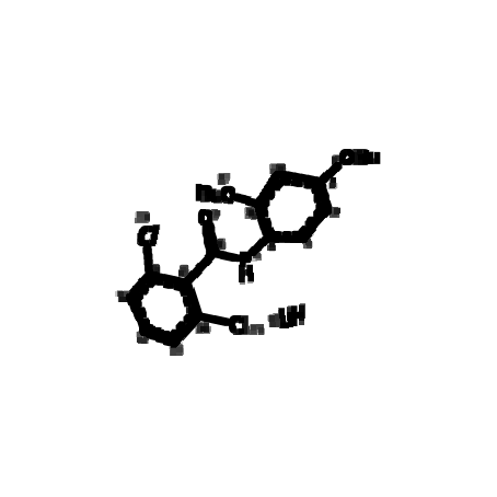 CC(C)COc1ccc(PC(=O)c2c(Cl)cccc2Cl)c(OCC(C)C)c1.[LiH]